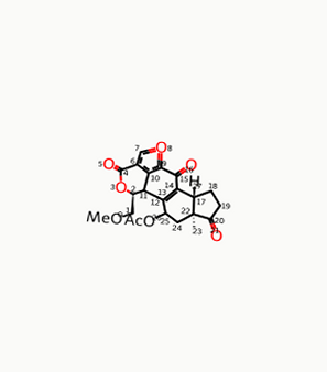 COC[C@H]1OC(=O)c2coc3c2[C@@]1(C)C1=C(C3=O)[C@@H]2CCC(=O)[C@@]2(C)CC1OC(C)=O